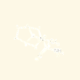 CN1CC2CCC(C1)C2CC(N)=O